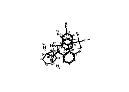 O=C(c1cccc(F)c1-c1ncc(F)cn1)N1[C@@H]2CC[C@H]1[C@H](Nc1ncc(C(F)(F)F)cc1F)C2